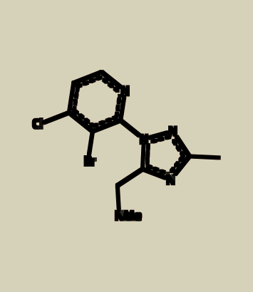 CNCc1nc(C)nn1-c1nccc(Cl)c1Br